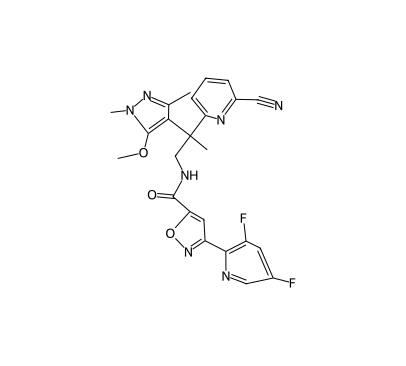 COc1c(C(C)(CNC(=O)c2cc(-c3ncc(F)cc3F)no2)c2cccc(C#N)n2)c(C)nn1C